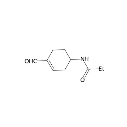 CCC(=O)NC1CC=C(C=O)CC1